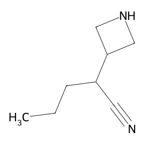 CCCC(C#N)C1CNC1